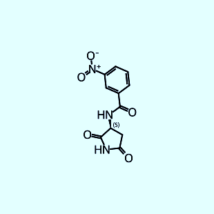 O=C1C[C@H](NC(=O)c2cccc([N+](=O)[O-])c2)C(=O)N1